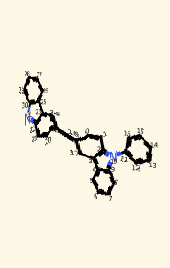 C1=Cc2c(c3ccccc3n2-c2ccccc2)CC1=c1ccc2c(c1)-c1ccccc1N=2